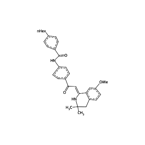 CCCCCCc1ccc(C(=O)Nc2ccc(C(=O)/C=C3\NC(C)(C)Cc4ccc(OC)cc43)cc2)cc1